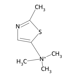 Cc1ncc([N+](C)(C)C)s1